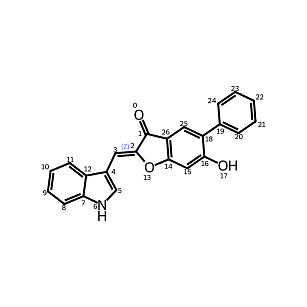 O=C1/C(=C/c2c[nH]c3ccccc23)Oc2cc(O)c(-c3ccccc3)cc21